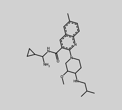 COC1CN(c2nc3ccc(C)cc3cc2C(=O)NC(N)C2CC2)CCC1NCC(C)C